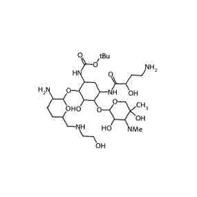 CNC1C(O)C(OC2C(NC(=O)C(O)CCN)CC(NC(=O)OC(C)(C)C)C(OC3OC(CNCCO)CCC3N)C2O)OCC1(C)O